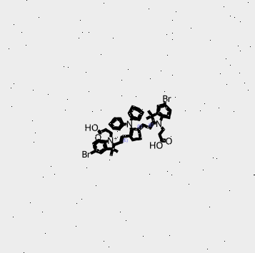 CC1(C)C(/C=C/C2=C(N(c3ccccc3)c3ccccc3)C(=C/C=C3/N(CCC(=O)O)c4ccc(Br)cc4C3(C)C)/CC2)=[N+](CCC(=O)O)c2ccc(Br)cc21